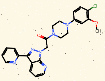 COc1cc(N2CCN(C(=O)Cn3nc(-c4ccccn4)c4cccnc43)CC2)ccc1Cl